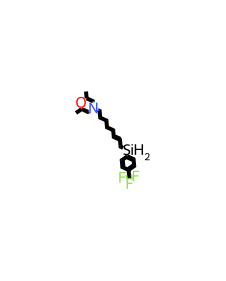 CC1CN(CCCCCC=CC[SiH2]c2ccc(C(F)(F)F)cc2)CC(C)O1